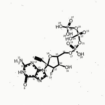 C#C[C@@]1(n2cnc3c(=O)[nH]c(N)nc32)OC(COP(=O)(O)OP(=O)(O)OP(=O)(O)O)[C@@H](O)[C@H]1F